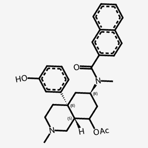 CC(=O)OC1C[C@H](N(C)C(=O)c2ccc3ccccc3c2)C[C@]2(c3cccc(O)c3)CCN(C)C[C@@H]12